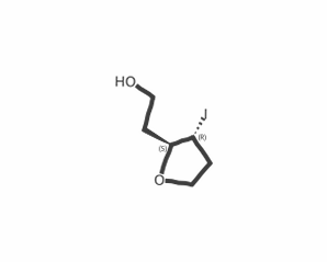 OCC[C@@H]1OCC[C@H]1I